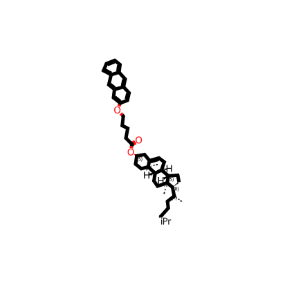 CC(C)CCC[C@@H](C)[C@H]1CC[C@H]2[C@@H]3CC=C4C[C@@H](OC(=O)CCCCOc5ccc6cc7ccccc7cc6c5)CC[C@]4(C)[C@H]3CC[C@]12C